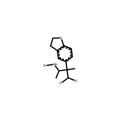 CCNC(C)C(C)(c1ccc2c(c1)CCS2)C(Cl)Cl